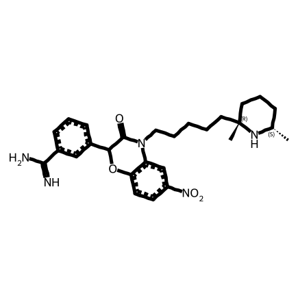 C[C@H]1CCC[C@@](C)(CCCCCN2C(=O)C(c3cccc(C(=N)N)c3)Oc3ccc([N+](=O)[O-])cc32)N1